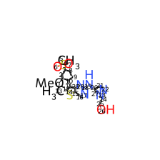 COc1cc(S(C)(=O)=O)ccc1-c1c(C)sc2cnc(Nc3cnn(CCO)c3)nc12